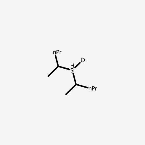 CCCC(C)[SiH]([O])C(C)CCC